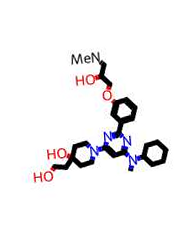 CNCC(O)COc1cccc(-c2nc(N3CCC(O)(CCO)CC3)cc(N(C)C3CCCCC3)n2)c1